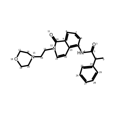 CC(C(=O)Nc1cccc2c(=O)n(CCN3CCOCC3)ccc12)c1ccccc1